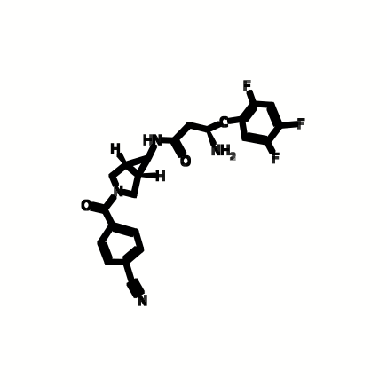 N#Cc1ccc(C(=O)N2C[C@@H]3C(NC(=O)C[C@H](N)Cc4cc(F)c(F)cc4F)[C@@H]3C2)cc1